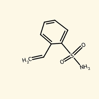 C=Cc1ccccc1S(N)(=O)=O